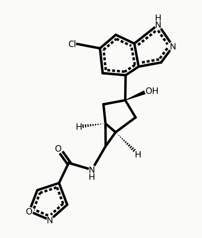 O=C(NC1[C@H]2C[C@](O)(c3cc(Cl)cc4[nH]ncc34)C[C@@H]12)c1cnoc1